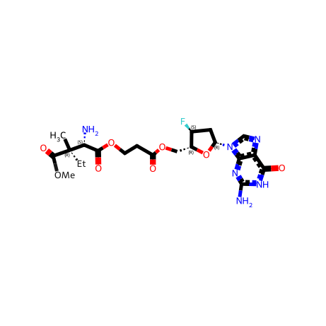 CC[C@@](C)(C(=O)OC)[C@H](N)C(=O)OCCC(=O)OC[C@H]1O[C@@H](n2cnc3c(=O)[nH]c(N)nc32)C[C@@H]1F